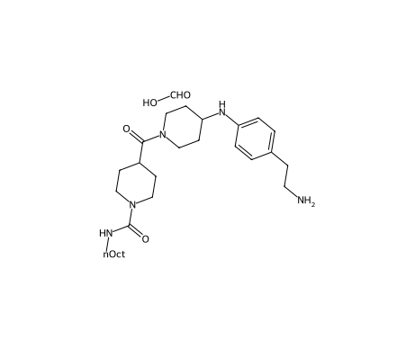 CCCCCCCCNC(=O)N1CCC(C(=O)N2CCC(Nc3ccc(CCN)cc3)CC2)CC1.O=CO